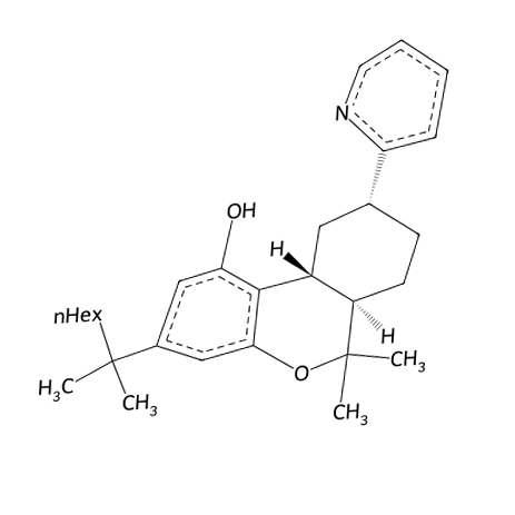 CCCCCCC(C)(C)c1cc(O)c2c(c1)OC(C)(C)[C@@H]1CC[C@@H](c3ccccn3)C[C@@H]21